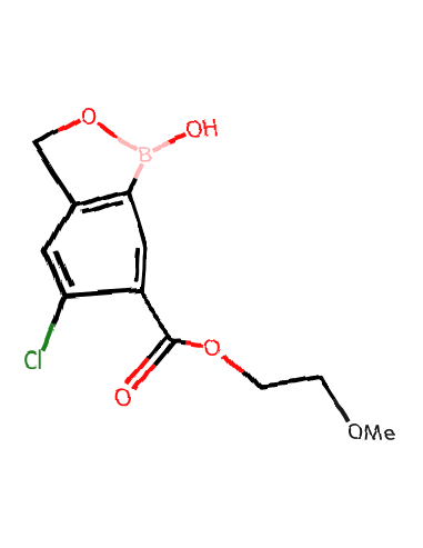 COCCOC(=O)c1cc2c(cc1Cl)COB2O